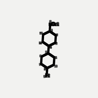 CCCCCCCCC1CCC(C2CCC(CC)CC2)CC1